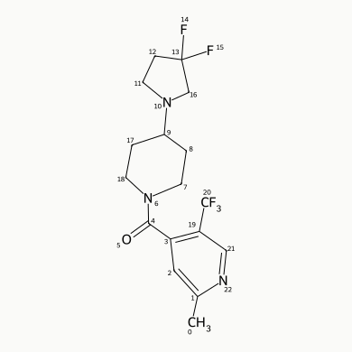 Cc1cc(C(=O)N2CCC(N3CCC(F)(F)C3)CC2)c(C(F)(F)F)cn1